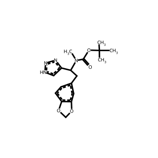 CN(C(=O)OC(C)(C)C)C(Cc1ccc2c(c1)OCO2)c1c[nH]nn1